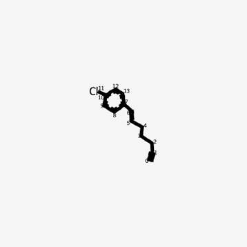 C#CCCC/C=C/c1ccc(Cl)cc1